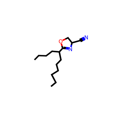 CCCCCCC(CCCC)C1=NC(C#N)CO1